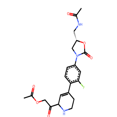 CC(=O)NC[C@H]1CN(c2ccc(C3=CC(C(=O)COC(C)=O)NCC3)c(F)c2)C(=O)O1